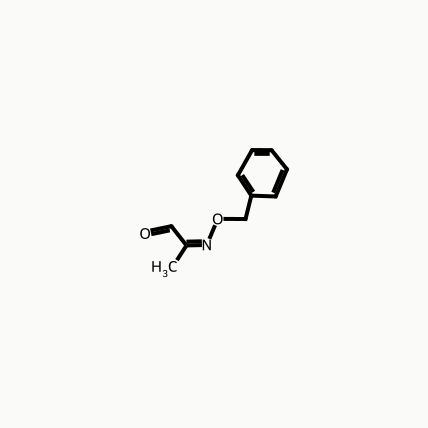 CC(C=O)=NOCc1ccccc1